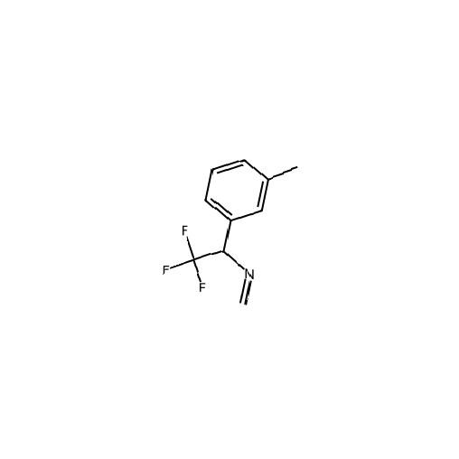 C=NC(c1cccc(C)c1)C(F)(F)F